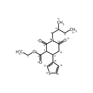 CCOC(=O)C1C(=O)N(CC(C)CC)C(=O)CC1c1ccsc1